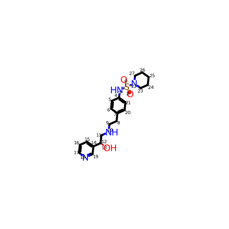 O=S(=O)(Nc1ccc(CCNC[C@@H](O)c2cccnc2)cc1)N1CCCCC1